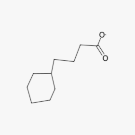 [O]C(=O)CCCC1CCCCC1